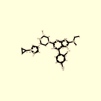 CCN(C)c1nc2nc(N3C[C@@H](C)O[C@@H](c4cnn(C5CC5)c4)C3)nc(-c3ccc(Cl)cc3F)c2s1